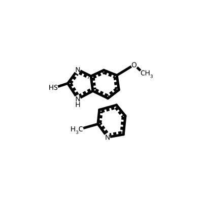 COc1ccc2[nH]c(S)nc2c1.Cc1ccccn1